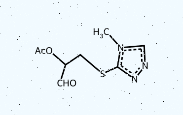 CC(=O)OC(C=O)CSc1nncn1C